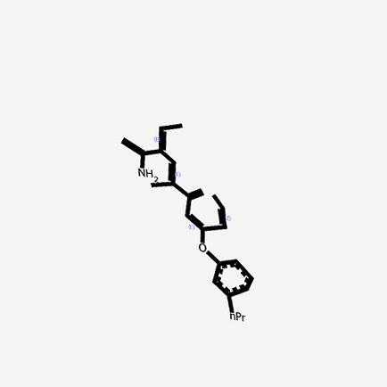 C=C(/C=C(\C=C/C)Oc1cccc(CCC)c1)/C(C)=C/C(=C\C)C(=C)N